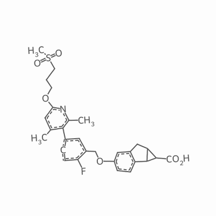 Cc1cc(OCCCS(C)(=O)=O)nc(C)c1-c1ccc(F)c(COc2ccc3c(c2)CC2C(C(=O)O)C32)c1